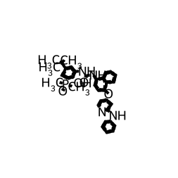 CC(C)(C)c1cc(NC(=O)Nc2ccc(Oc3ccnc(Nc4ccccc4)c3)c3ccccc23)c(O)c(P(C)(C)=O)c1